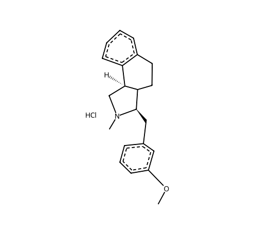 COc1cccc(C[C@@H]2C3CCc4ccccc4[C@@H]3CN2C)c1.Cl